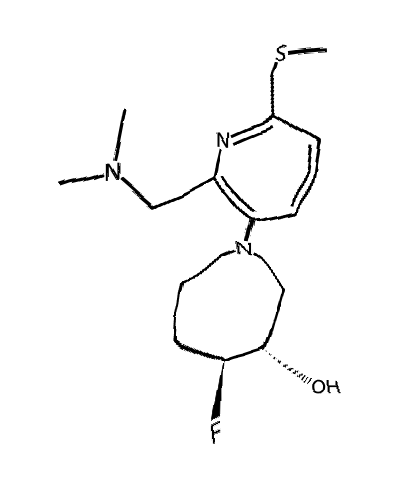 CSc1ccc(N2CC[C@H](F)[C@@H](O)C2)c(CN(C)C)n1